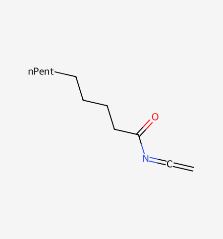 C=C=NC(=O)CCCCCCCCC